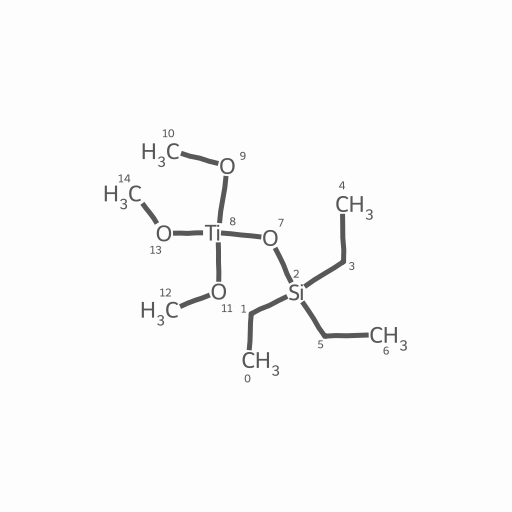 CC[Si](CC)(CC)[O][Ti]([O]C)([O]C)[O]C